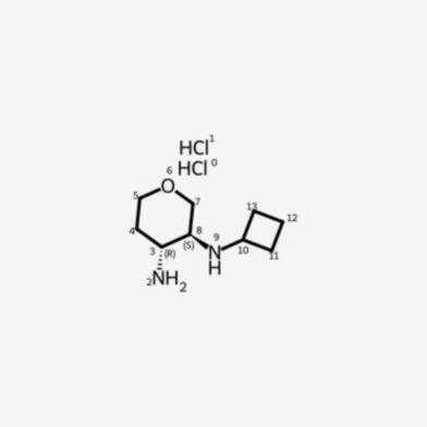 Cl.Cl.N[C@@H]1CCOC[C@H]1NC1CCC1